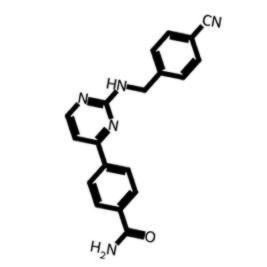 N#Cc1ccc(CNc2nccc(-c3ccc(C(N)=O)cc3)n2)cc1